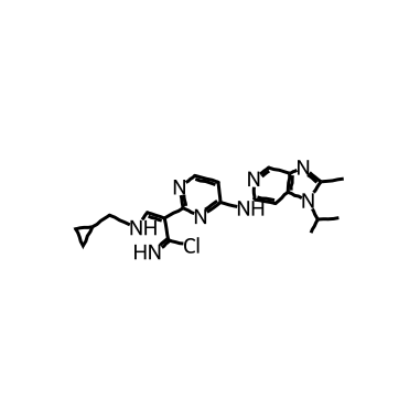 Cc1nc2cnc(Nc3ccnc(/C(=C/NCC4CC4)C(=N)Cl)n3)cc2n1C(C)C